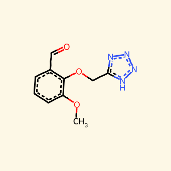 COc1cccc(C=O)c1OCc1nnn[nH]1